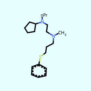 CCCN(CCN(C)CCCSc1ccccc1)C1CCCC1